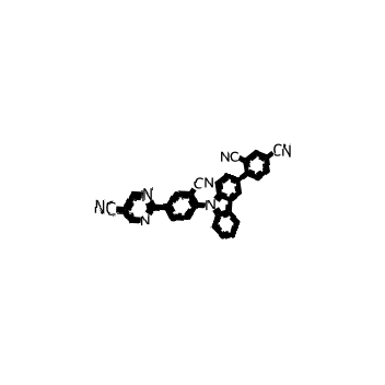 N#Cc1cnc(-c2ccc(-n3c4ccccc4c4cc(-c5ccc(C#N)cc5C#N)ccc43)c(C#N)c2)nc1